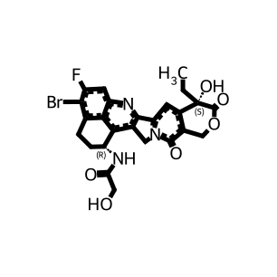 CC[C@@]1(O)C(=O)OCc2c1cc1n(c2=O)Cc2c-1nc1cc(F)c(Br)c3c1c2[C@H](NC(=O)CO)CC3